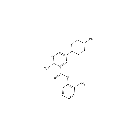 Nc1ccncc1NC(=O)C1=NC(C2CCC(O)CC2)=CNC1N